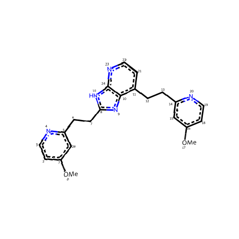 COc1ccnc(CCc2nc3c(CCc4cc(OC)ccn4)ccnc3[nH]2)c1